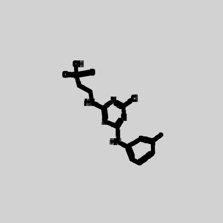 Cc1cccc(Nc2nc(Cl)nc(NCCS(=O)(=O)O)n2)c1